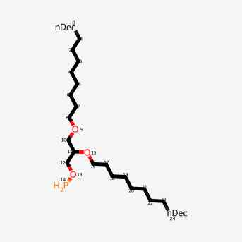 CCCCCCCCCCCCCCCCCCOCC(COP)OCCCCCCCCCCCCCCCCCC